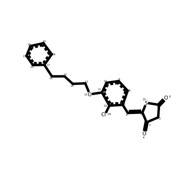 O=C1CC(=O)/C(=C/c2cccc(OCCCCc3ccccc3)c2Cl)S1